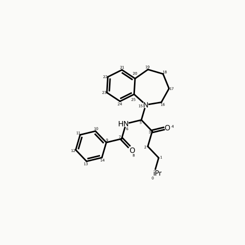 CC(C)CCC(=O)C(NC(=O)c1ccccc1)N1CCCCc2ccccc21